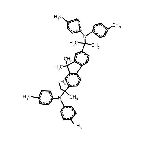 CCC(C)(c1ccc2c(c1)C(C)(C)c1cc(C(C)(C)N(c3ccc(C)cc3)c3ccc(C)cc3)ccc1-2)N(c1ccc(C)cc1)c1ccc(C)cc1